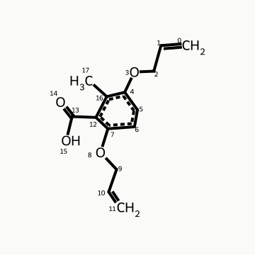 C=CCOc1ccc(OCC=C)c(C(=O)O)c1C